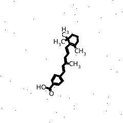 CC1=C(/C=C/C=C(C)/C=C/c2ccc(C(=O)O)cc2)C(C)(C)CCC1